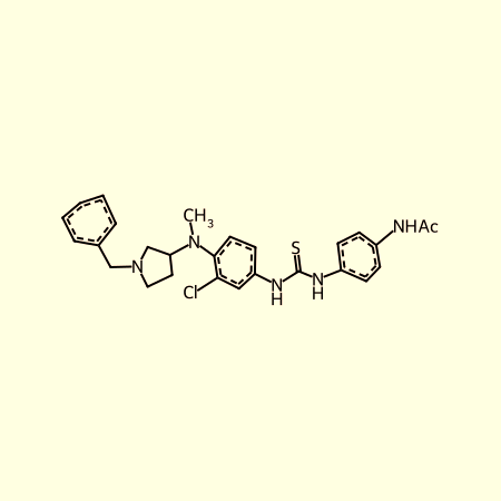 CC(=O)Nc1ccc(NC(=S)Nc2ccc(N(C)C3CCN(Cc4ccccc4)C3)c(Cl)c2)cc1